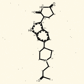 O=C(I)CCN1CCC(c2ccc3c(C4CCC(=O)NC4=O)n[nH]c3c2)CC1